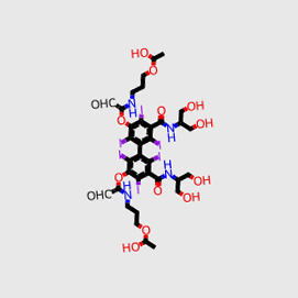 CC(O)OCCCNC(C=O)Oc1c(I)c(C(=O)NC(CO)CO)c(I)c(-c2c(I)c(OC(C=O)NCCCOC(C)O)c(I)c(C(=O)NC(CO)CO)c2I)c1I